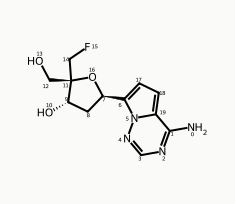 Nc1ncnn2c([C@H]3C[C@H](O)[C@](CO)(CF)O3)ccc12